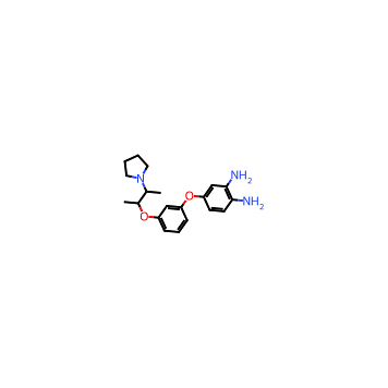 CC(Oc1cccc(Oc2ccc(N)c(N)c2)c1)C(C)N1CCCC1